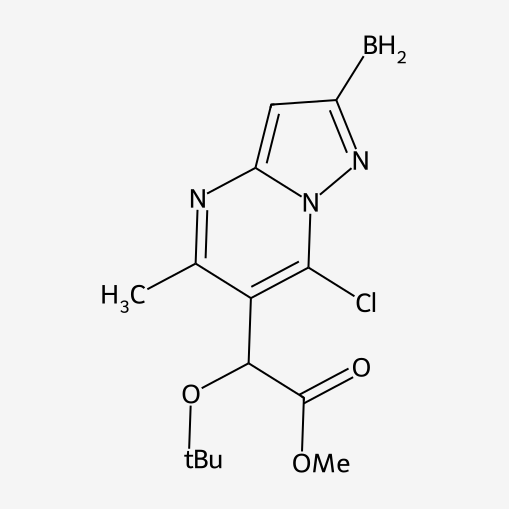 Bc1cc2nc(C)c(C(OC(C)(C)C)C(=O)OC)c(Cl)n2n1